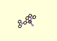 N#Cc1ccc(-c2ccccc2-c2cc(-n3c4ccccc4c4ccccc43)ccc2C#N)c(-n2c3ccccc3c3ccccc32)c1